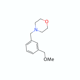 COCc1cccc(CN2CCOCC2)c1